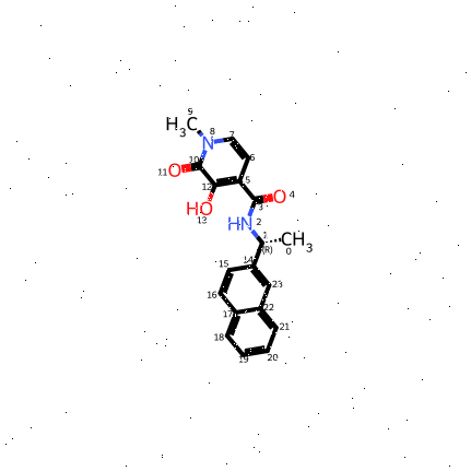 C[C@@H](NC(=O)c1ccn(C)c(=O)c1O)c1ccc2ccccc2c1